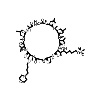 CC[C@@H]1NC(=O)C(C(C)CCCCCOS(C)(=O)=O)N(O)C(=O)C(C(C)C)N(C)C(=O)[C@H](CC(C)C)N(C)C(=O)[C@H](CC(C)C)N(C)C(=O)CNC(=O)C(C)NC(=O)[C@H](CC(C)C)N(C)C(=O)C(C(C)C)NC(=O)C([C@@H](C)OCCCCN2CCOCC2)N(C)C(=O)[C@@H](C)N(C)C1=O